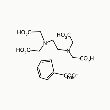 O=C(O)CN(CCN(CC(=O)O)CC(=O)O)CC(=O)O.O=C([O-])c1ccccc1.[Na+]